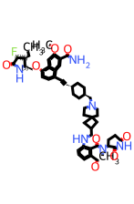 CC[C@@H]1[C@H](F)C(=O)N[C@@H]1COc1ccc(C#C[C@H]2CC[C@H](CN3CCC4(CC3)CC(CNc3cccc(C=O)c3C(=O)N(C)C3CCC(=O)NC3=O)C4)CC2)c2cc(C(N)=O)c(OC)cc12